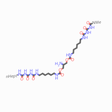 CCCCCCCNC(=O)NC(=O)NC(=O)NCCCCCCNC(=O)OCC(N)COC(=O)NCCCCCCNC(=O)NC(=O)NC(=O)NC